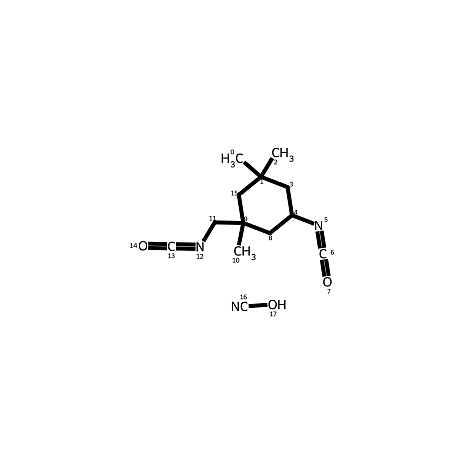 CC1(C)CC(N=C=O)CC(C)(CN=C=O)C1.N#CO